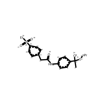 CCCOC(C)(c1ccc(NC(=O)Cc2ccc(S(=O)(=O)CC)cc2)cc1)C(F)(F)F